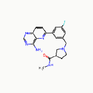 CNC(=O)C1CCN(Cc2cc(F)cc(-c3ccc4ncnc(N)c4n3)c2)C1